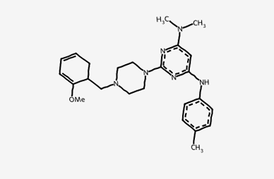 COC1=CC=CCC1CN1CCN(c2nc(Nc3ccc(C)cc3)cc(N(C)C)n2)CC1